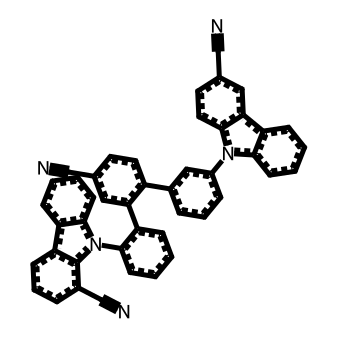 N#Cc1ccc(-c2cccc(-n3c4ccccc4c4cc(C#N)ccc43)c2)c(-c2ccccc2-n2c3ccccc3c3cccc(C#N)c32)c1